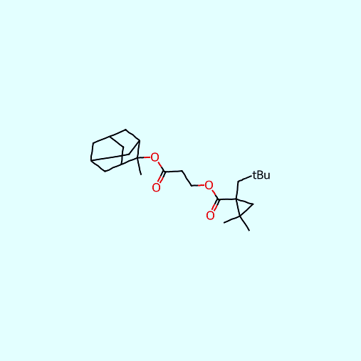 CC(C)(C)CC1(C(=O)OCCC(=O)OC2(C)C3CC4CC(C3)CC2C4)CC1(C)C